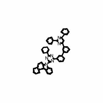 C1=CC(c2nc(-c3cccc(-c4cccc(-c5cc(-c6ccccc6)nc(-c6ccccc6)n5)c4)c3)nc(-n3c4ccccc4c4c5ccccc5ccc43)n2)=CCC1